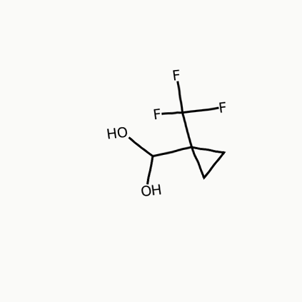 OC(O)C1(C(F)(F)F)CC1